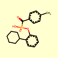 Cc1ccc(C(=O)P(=O)(O)Oc2ccccc2C2CCCCC2)cc1